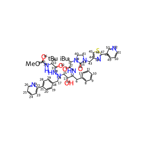 CCC(C)C(C(=O)NC(Cc1ccccc1)C(O)CN(Cc1ccc(-c2ccccn2)cc1)NC(=O)C(NC(=O)OC)C(C)(C)C)N1CCN(Cc2csc(-c3cccnc3)n2)C1=O